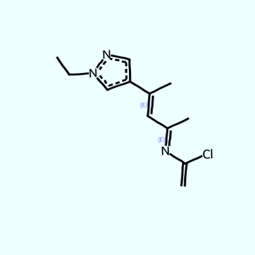 C=C(Cl)/N=C(C)/C=C(\C)c1cnn(CC)c1